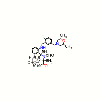 BC(CCC=O)(C(=O)NC)N(C=O)C(B)(B)c1c(C)cccc1NCc1cc(CN2CC(C)OC(C)C2)ccc1F